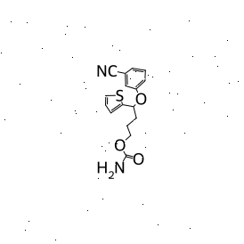 N#Cc1cccc(OC(CCCOC(N)=O)c2cccs2)c1